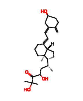 C=C1CC[C@H](O)C/C1=C/C=C1\CCC[C@]2(C)[C@@H]([C@H](C)CC(O)C(=O)C(C)(C)O)CC[C@@H]12